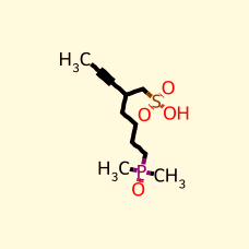 CC#CC(CCCCP(C)(C)=O)CS(=O)(=O)O